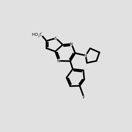 O=C(O)c1cc2nc(-c3ccc(F)cc3)c(N3CCCC3)nc2s1